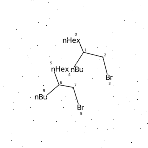 CCCCCCC(CBr)CCCC.CCCCCCC(CBr)CCCC